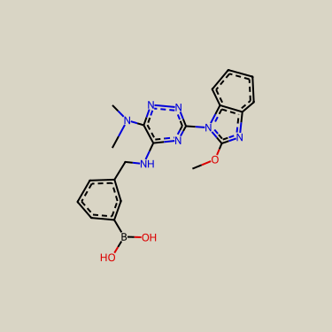 COc1nc2ccccc2n1-c1nnc(N(C)C)c(NCc2cccc(B(O)O)c2)n1